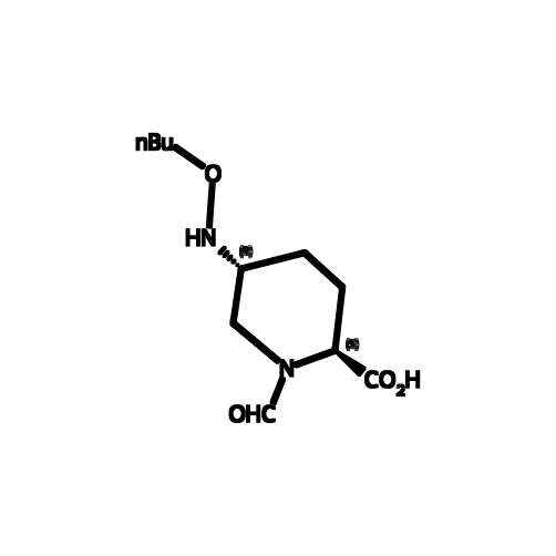 CCCCON[C@@H]1CC[C@@H](C(=O)O)N(C=O)C1